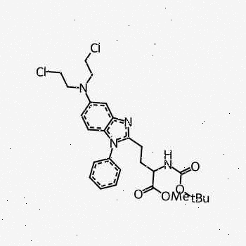 COC(=O)C(CCc1nc2cc(N(CCCl)CCCl)ccc2n1-c1ccccc1)NC(=O)OC(C)(C)C